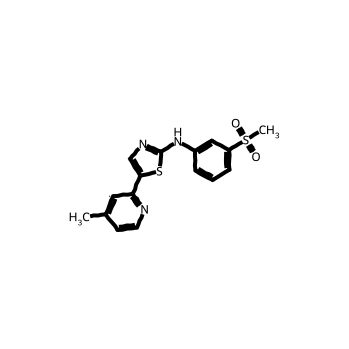 Cc1[c]c(-c2cnc(Nc3cccc(S(C)(=O)=O)c3)s2)ncc1